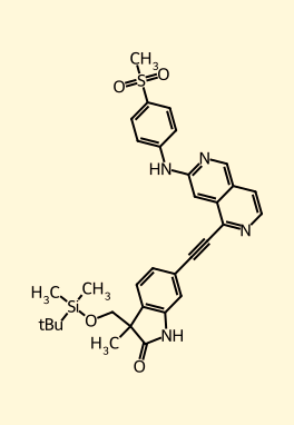 CC1(CO[Si](C)(C)C(C)(C)C)C(=O)Nc2cc(C#Cc3nccc4cnc(Nc5ccc(S(C)(=O)=O)cc5)cc34)ccc21